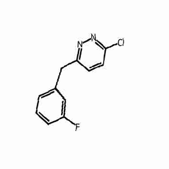 Fc1cccc(Cc2ccc(Cl)nn2)c1